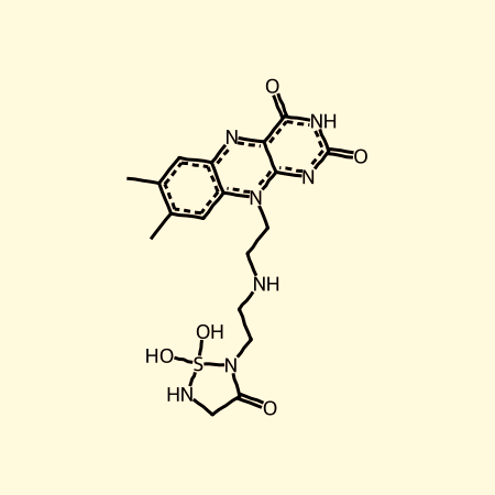 Cc1cc2nc3c(=O)[nH]c(=O)nc-3n(CCNCCN3C(=O)CNS3(O)O)c2cc1C